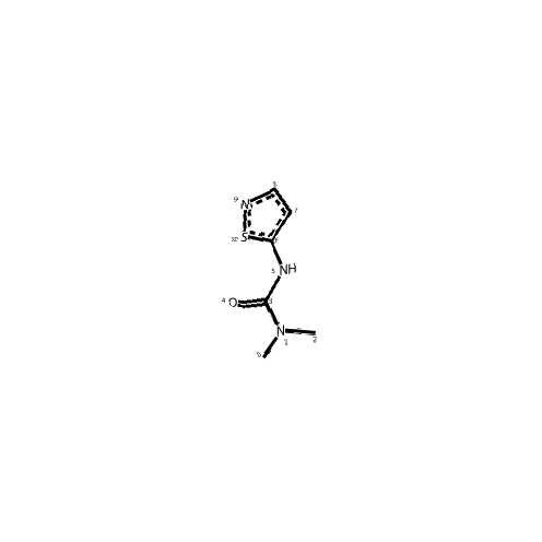 CN(C)C(=O)Nc1ccns1